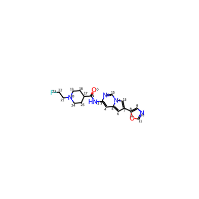 O=C(Nc1cc2cc(-c3cnco3)cn2cn1)C1CCN(CCF)CC1